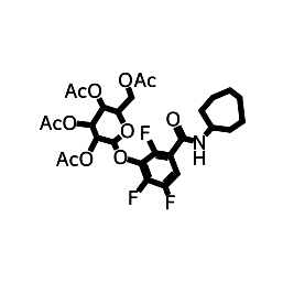 CC(=O)OCC1OC(Oc2c(F)c(F)cc(C(=O)NC3CCCCCC3)c2F)C(OC(C)=O)C(OC(C)=O)C1OC(C)=O